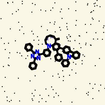 C=C1/C=C\C=C/CN(c2cccc(-c3nc(-c4ccccc4)nc(-c4ccccc4)n3)c2)c2cc(-c3ccccc3)c(-c3ccc4c5ccccc5n(-c5ccccc5)c4c3)cc21